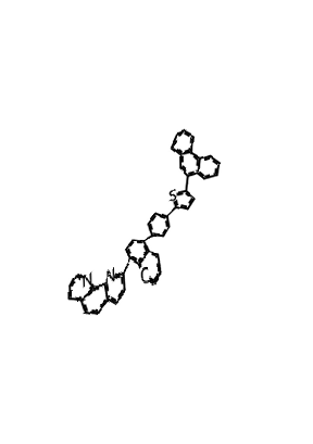 c1ccc2c(c1)cc(-c1ccc(-c3ccc(-c4ccc(-c5ccc6ccc7cccnc7c6n5)c5ccccc45)cc3)s1)c1ccccc12